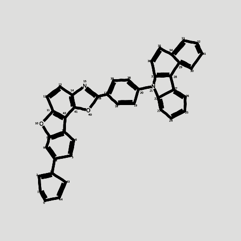 c1ccc(-c2ccc3c(c2)oc2ccc4nc(-c5ccc(-n6c7ccccc7c7c8ccccc8ccc76)cc5)oc4c23)cc1